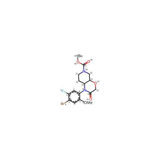 COc1cc(Br)c(F)cc1N1C(=O)COC2CN(C(=O)OC(C)(C)C)CCC21